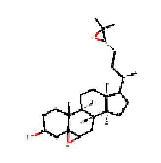 C[C@H](CC[C@@H]1OC1(C)C)[C@H]1CC[C@H]2[C@@H]3CC4OC45CC(O)CC[C@]5(C)[C@H]3CC[C@]12C